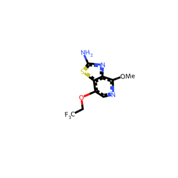 COc1ncc(OCC(F)(F)F)c2sc(N)nc12